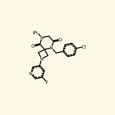 CC(C)N1CC(=O)N(Cc2ccc(Cl)cc2)C2(CN(c3cncc(F)c3)C2)C1=O